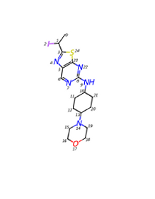 CC(I)c1nc2cnc(NC3CCC(N4CCOCC4)CC3)nc2s1